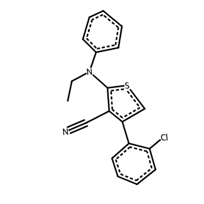 CCN(c1ccccc1)c1scc(-c2ccccc2Cl)c1C#N